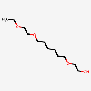 CCOCCOCCCCCCOCCO